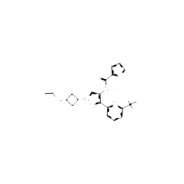 CCO[C@H]1C[C@@H](n2cc(NC(=O)c3ccco3)c(-c3cccc(C(F)(F)F)n3)n2)C1